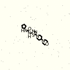 O=C(Nc1nnc(N2CCC(N3CCOCC3)CC2)s1)NC1CCCC1